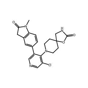 CN1C(=O)Cc2cc(-c3cncc(Cl)c3N3CCC4(CC3)CNC(=O)O4)ccc21